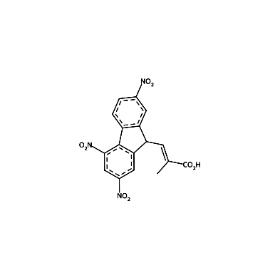 CC(=CC1c2cc([N+](=O)[O-])ccc2-c2c1cc([N+](=O)[O-])cc2[N+](=O)[O-])C(=O)O